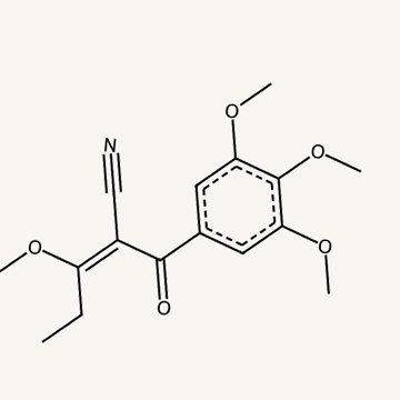 CC/C(OC)=C(/C#N)C(=O)c1cc(OC)c(OC)c(OC)c1